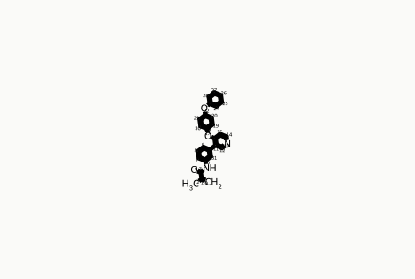 C=C(C)C(=O)Nc1cccc(-c2cnccc2Oc2ccc(Oc3ccccc3)cc2)c1